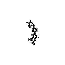 CN1CCN(Cc2ccc(-c3ccc(C[C@]4(C#N)CS4)cc3)cc2)CC1